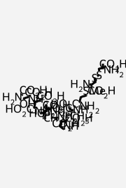 CC(C)C(N)C(=O)O.CC(N)C(=O)O.CC(O)C(N)C(=O)O.CSCCC(N)C(=O)O.NC(CCC(=O)O)C(=O)O.NC(CO)C(=O)O.NC(CSSCC(N)C(=O)O)C(=O)O.NCC(=O)O.O=C(O)[C@@H]1CCCN1